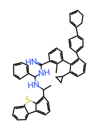 Cc1c(C(=N)NC(NC(C)c2cccc3c2sc2ccccc23)c2ccccc2)cccc1-c1c(-c2ccc(C3=CC=CCC3)cc2)cccc1C1CC1